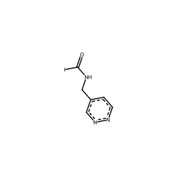 O=C(I)NCc1ccnnc1